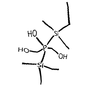 CC[Si](C)(C)P(O)(O)(O)[Si](C)(C)C